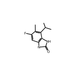 Cc1c(F)cc2c(c1C(C)C)NC(=O)[N]2